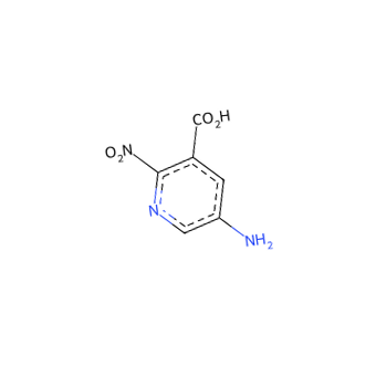 Nc1cnc([N+](=O)[O-])c(C(=O)O)c1